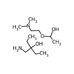 CC(O)OCCN(C)C.CCC(O)(CC)CN